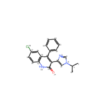 CC(C)n1cnc(-c2c(-c3ccccc3)c3cc(Cl)ccc3[nH]c2=O)c1